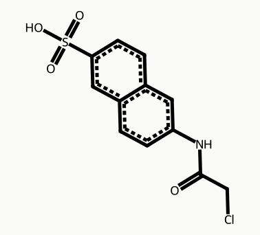 O=C(CCl)Nc1ccc2cc(S(=O)(=O)O)ccc2c1